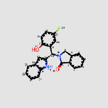 O=C1c2ccccc2CN1[C@@H](c1cc2ccccc2[nH]1)c1cc(F)ccc1O